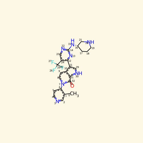 Cc1cnccc1-n1ccc2c(-c3nc(N[C@H]4CCCNC4)ncc3C(F)(F)F)c[nH]c2c1=O